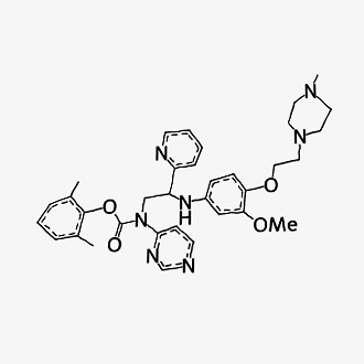 COc1cc(NC(CN(C(=O)Oc2c(C)cccc2C)c2ccncn2)c2ccccn2)ccc1OCCN1CCN(C)CC1